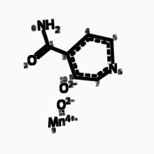 NC(=O)c1ccncc1.[Mn+4].[O-2].[O-2]